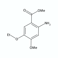 CCOc1cc(C(=O)OC)c(N)cc1OC